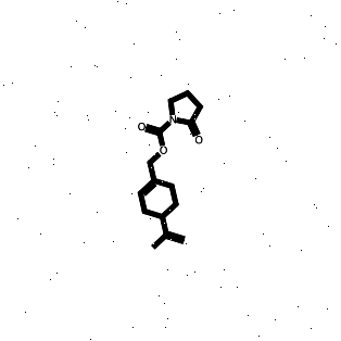 C=C(C)C1CC=C(COC(=O)N2CCCC2=O)CC1